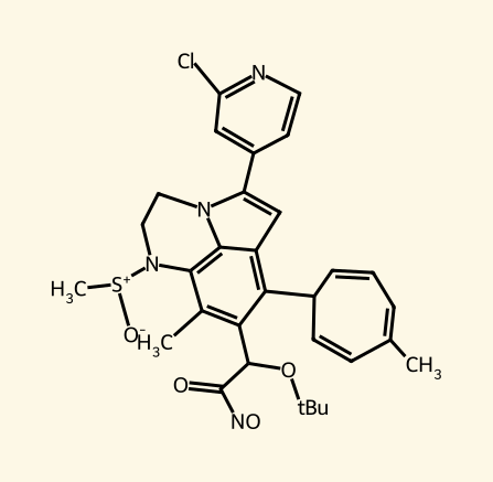 CC1=CC=CC(c2c(C(OC(C)(C)C)C(=O)N=O)c(C)c3c4c2cc(-c2ccnc(Cl)c2)n4CCN3[S+](C)[O-])C=C1